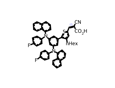 CCCCCCc1cc(/C=C(/C#N)C(=O)O)sc1-c1cc(N(c2ccc(F)cc2)c2cccc3ccccc23)cc(N(c2ccc(F)cc2)c2cccc3ccccc23)c1